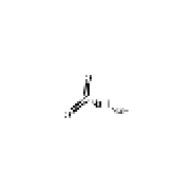 O=S=O.[NaH].[NaH]